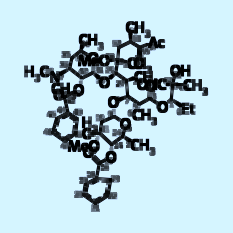 CC[C@@H](OC(=O)[C@H](C)[C@@H](O[C@H]1C[C@@](C)(OC)[C@@H](OC(=O)c2ccccc2)[C@H](C)O1)[C@H](C)[C@@H](O[C@@H]1O[C@H](C)C[C@H](N(C)C)[C@H]1OC(=O)c1ccccc1)[C@@](C)(C[C@@H](C)C(=O)C(C)=O)OC)[C@@](C)(O)C=O